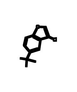 CC(C)(C)c1ccc2occ(Cl)c2c1